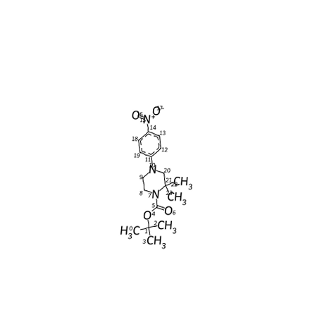 CC(C)(C)OC(=O)N1CCN(c2ccc([N+](=O)[O-])cc2)CC1(C)C